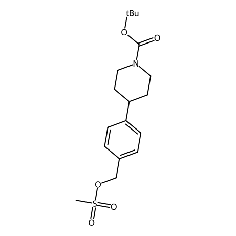 CC(C)(C)OC(=O)N1CCC(c2ccc(COS(C)(=O)=O)cc2)CC1